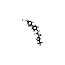 CC(C)(F)c1cc(NC(=O)Cc2ccc(-c3ccc(N)nc3)cc2)on1